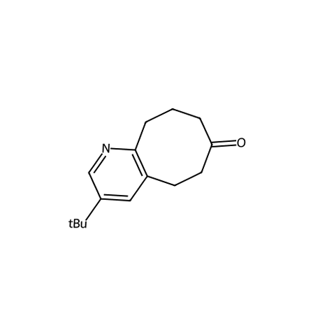 CC(C)(C)c1cnc2c(c1)CCC(=O)CCC2